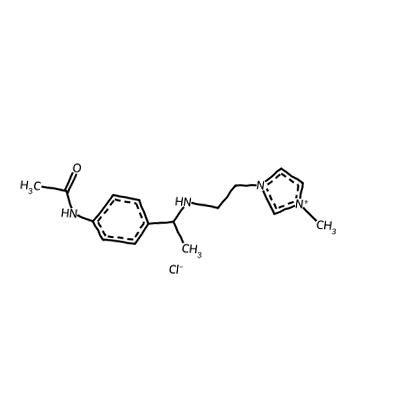 CC(=O)Nc1ccc(C(C)NCCn2cc[n+](C)c2)cc1.[Cl-]